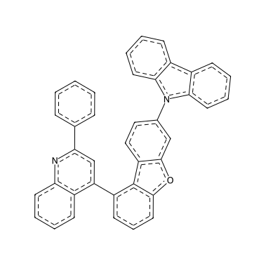 c1ccc(-c2cc(-c3cccc4oc5cc(-n6c7ccccc7c7ccccc76)ccc5c34)c3ccccc3n2)cc1